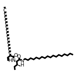 C=C=C=C=C=C=C=C=C=C=C=C=C=C=C=C(C=C)C(=O)N[C@H](C(=O)NCCCCCCCCCCCCCCCCCC)[C@@H](C)CC